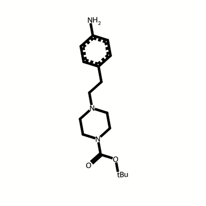 CC(C)(C)OC(=O)N1CCN(CCc2ccc(N)cc2)CC1